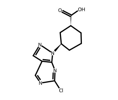 O=C(O)[C@@H]1CCC[C@@H](n2ncc3cnc(Cl)nc32)C1